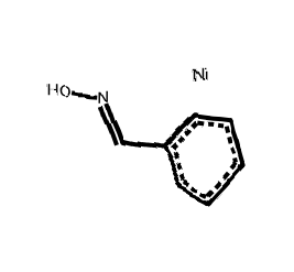 ON=Cc1ccccc1.[Ni]